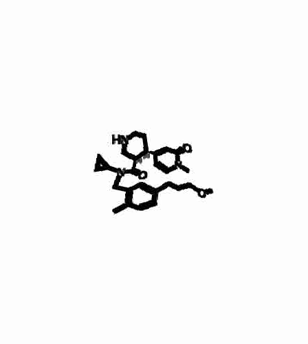 COCCCc1ccc(C)c(CN(C(=O)[C@H]2CNCC[C@@H]2c2ccn(C)c(=O)c2)C2CC2)c1